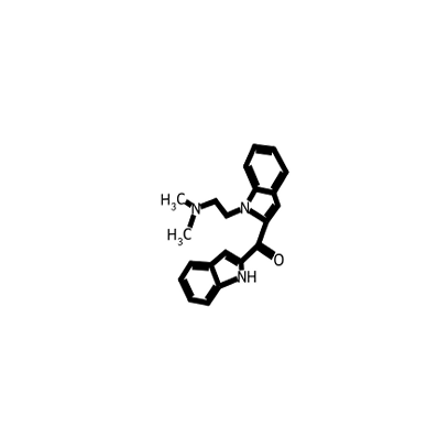 CN(C)CCn1c(C(=O)c2cc3ccccc3[nH]2)cc2ccccc21